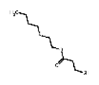 CCCCSCCOC(=O)CCS